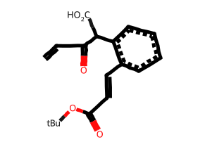 C=CC(=O)C(C(=O)O)c1ccccc1C=CC(=O)OC(C)(C)C